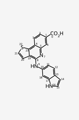 O=C(O)c1ccc2c(c1)nc(Nc1ccc3cc[nH]c3c1)c1ccsc12